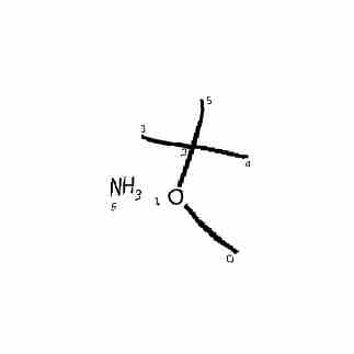 COC(C)(C)C.N